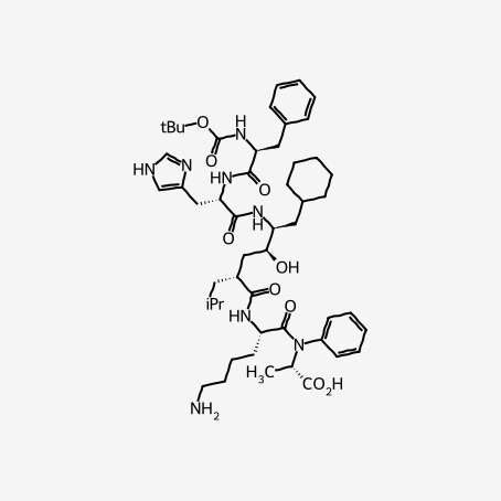 CC(C)C[C@H](C[C@H](O)[C@H](CC1CCCCC1)NC(=O)[C@H](Cc1c[nH]cn1)NC(=O)[C@H](Cc1ccccc1)NC(=O)OC(C)(C)C)C(=O)N[C@@H](CCCCN)C(=O)N(c1ccccc1)[C@@H](C)C(=O)O